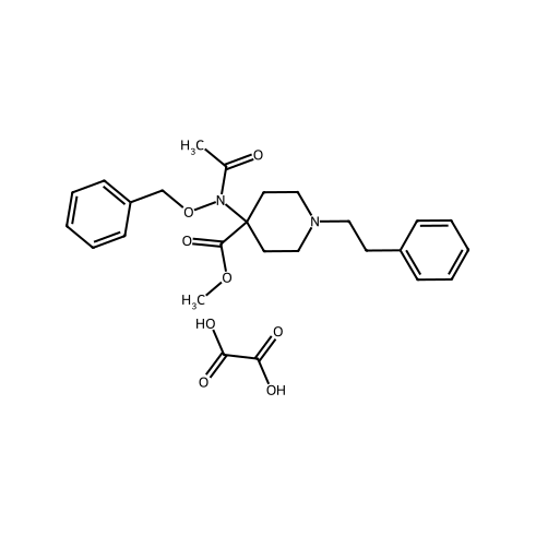 COC(=O)C1(N(OCc2ccccc2)C(C)=O)CCN(CCc2ccccc2)CC1.O=C(O)C(=O)O